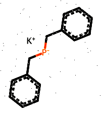 [K+].c1ccc(C[P-]Cc2ccccc2)cc1